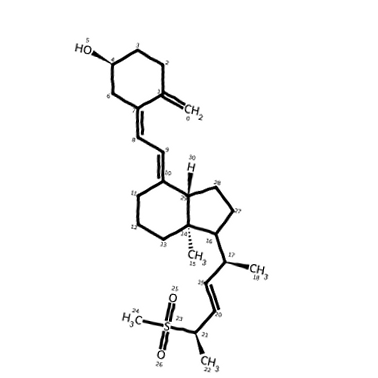 C=C1CC[C@H](O)C/C1=C/C=C1\CCC[C@]2(C)C([C@@H](C)/C=C/[C@@H](C)S(C)(=O)=O)CC[C@@H]12